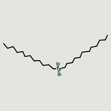 CCCCCCCCCCCC[Te](Br)(Br)CCCCCCCCCCCC